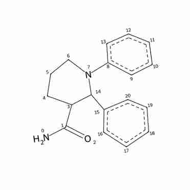 NC(=O)C1CCCN(c2ccccc2)C1c1ccccc1